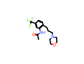 CC(=O)Nc1cc(C(F)(F)F)ccc1CCCN1CCOCC1